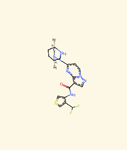 O=C(Nc1cscc1C(F)F)c1cnn2ccc(N3C[C@H]4CC[C@@H]3CN4)nc12